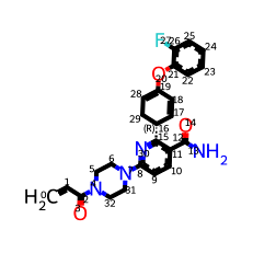 C=CC(=O)N1CCN(c2ccc(C(N)=O)c([C@H]3C=CC(Oc4ccccc4F)=CC3)n2)CC1